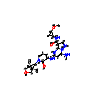 CNc1cc(Nc2cccn(C3[C@H]4COC[C@@H]34)c2=O)nc2c(C(=O)NC3CC3OC)cnn12